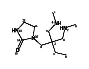 CCC(CNC)(CNC)CN1CCNC1=O